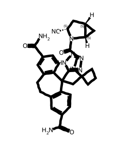 N#C[C@@H]1C[C@@H]2C[C@@H]2N1C(=O)CNC1(CC2(c3nnn[nH]3)c3ccc(C(N)=O)cc3CCc3cc(C(N)=O)ccc32)CCC1